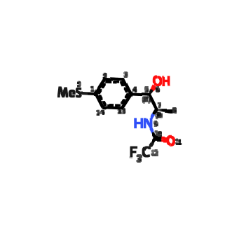 CSc1ccc([C@@H](O)[C@@H](C)NC(=O)C(F)(F)F)cc1